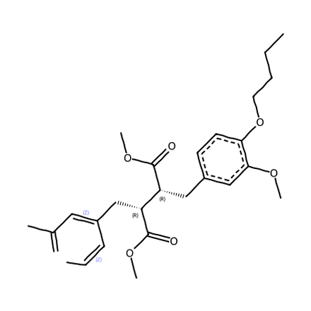 C=C(C)/C=C(\C=C/C)C[C@@H](C(=O)OC)[C@@H](Cc1ccc(OCCCC)c(OC)c1)C(=O)OC